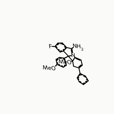 COc1ccc(C2(C3(OC)C=CC=C(c4ccccc4)C3)N=C(N)c3ccc(F)cc32)cc1